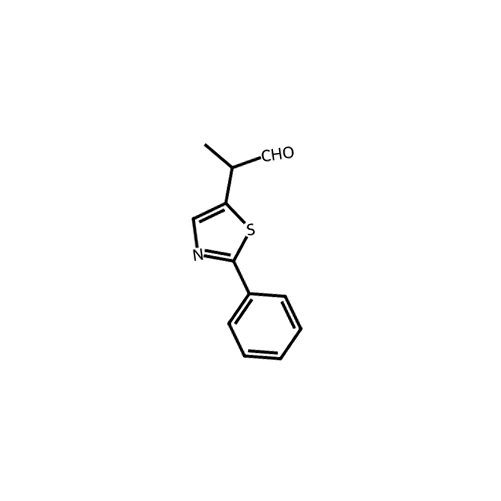 CC(C=O)c1cnc(-c2ccccc2)s1